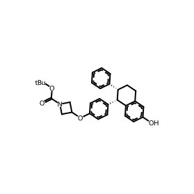 CC(C)(C)OC(=O)N1CC(Oc2ccc([C@H]3c4ccc(O)cc4CC[C@H]3c3ccccc3)cc2)C1